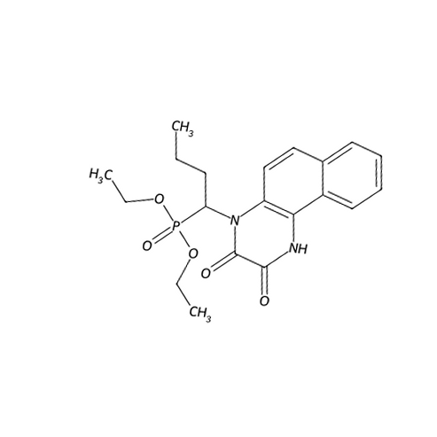 CCCC(n1c(=O)c(=O)[nH]c2c3ccccc3ccc21)P(=O)(OCC)OCC